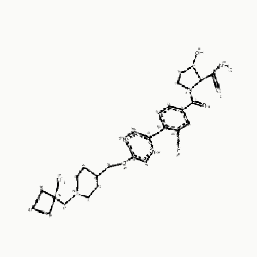 NC(=O)C1C(O)CCN1C(=O)c1ccc(-c2cnc(OCC3CCN(CC4(C(F)(F)F)CCC4)CC3)cn2)c(F)c1